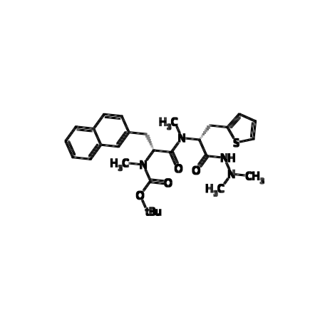 CN(C)NC(=O)[C@@H](Cc1cccs1)N(C)C(=O)[C@@H](Cc1ccc2ccccc2c1)N(C)C(=O)OC(C)(C)C